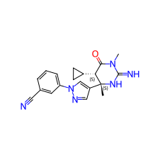 CN1C(=N)N[C@](C)(c2cnn(-c3cccc(C#N)c3)c2)[C@H](C2CC2)C1=O